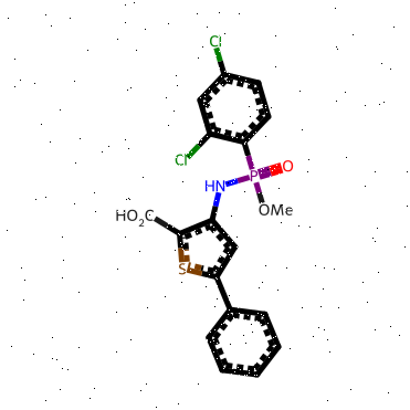 COP(=O)(Nc1cc(-c2ccccc2)sc1C(=O)O)c1ccc(Cl)cc1Cl